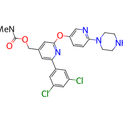 CNC(=O)OCc1cc(Oc2ccc(N3CCNCC3)nc2)nc(-c2cc(Cl)cc(Cl)c2)c1